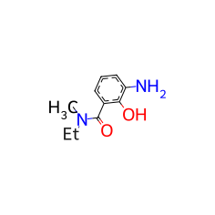 CCN(C)C(=O)c1cccc(N)c1O